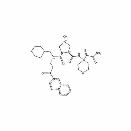 NC(=O)C(=O)C1(NC(=O)[C@@H]2C[C@@H](O)CN2C(=O)[C@H](CCC(=O)c2ccc3ccccc3c2)CC2CCCCC2)CCOCC1